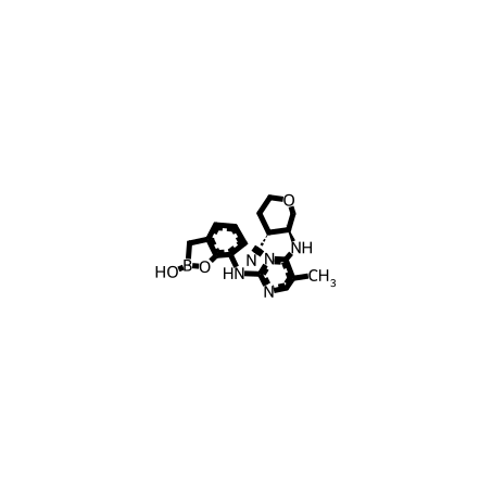 Cc1cnc(Nc2cccc3c2OB(O)C3)nc1N[C@@H]1COCC[C@H]1C#N